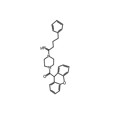 N=C(CCCc1ccccc1)N1CCN(C(=O)C2c3ccccc3Oc3ccccc32)CC1